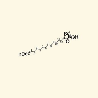 CCCCCCCCCCCCCCCCCCCCCCCC(=O)N(O)Br